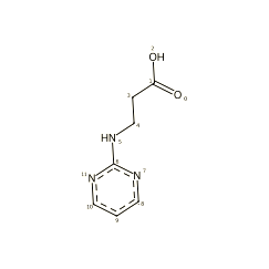 O=C(O)CCNc1n[c]ccn1